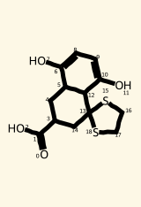 O=C(O)C1CC2C(O)=CC=C(O)C2C2(C1)SCCS2